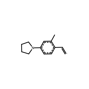 [CH]=Cc1ccc(N2CCCC2)cc1C